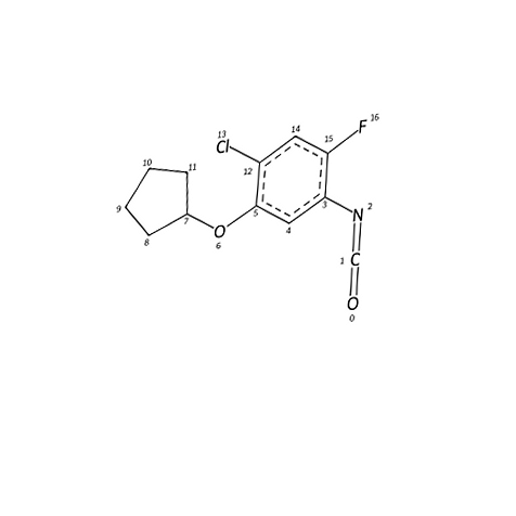 O=C=Nc1cc(OC2CCCC2)c(Cl)cc1F